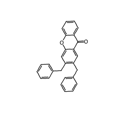 O=c1c2ccccc2oc2cc(Cc3ccccc3)c(Cc3ccccc3)cc12